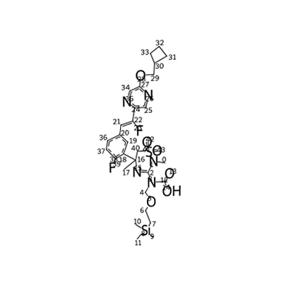 CN1C(N(COCC[Si](C)(C)C)C(=O)O)=NC(C)(c2cc(C=C(F)c3cnc(OCC4CCC4)cn3)ccc2F)CS1(=O)=O